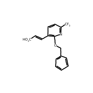 O=C(O)/C=C/c1ccc(C(F)(F)F)nc1OCc1ccccc1